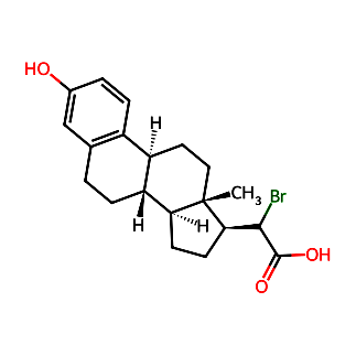 C[C@]12CC[C@@H]3c4ccc(O)cc4CC[C@H]3[C@@H]1CC[C@@H]2C(Br)C(=O)O